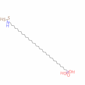 O=P(O)(O)CCCCCCCCCCCCCCCCCCCCCCCCCCCCCCCCCNC(=S)S